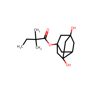 CCC(C)(C)C(=O)OC12CC3CC(O)(C1)CC3(O)C2